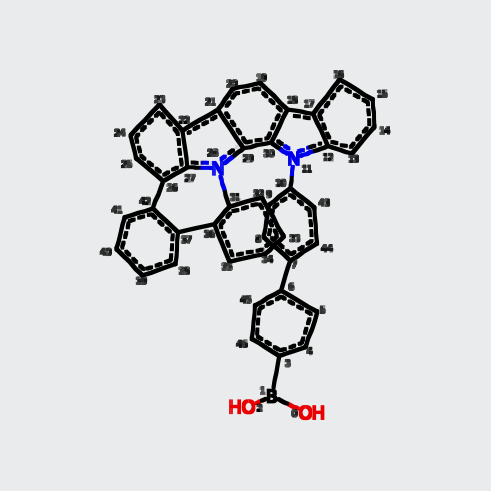 OB(O)c1ccc(-c2ccc(-n3c4ccccc4c4ccc5c6cccc7c6n(c5c43)-c3ccccc3-c3ccccc3-7)cc2)cc1